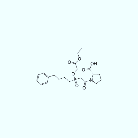 CCOC(=O)COP(=O)(CCCCc1ccccc1)CC(=O)N1CCC[C@H]1C(=O)O